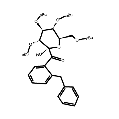 CCCCOC[C@H]1O[C@@](O)(C(=O)c2ccccc2Cc2ccccc2)[C@H](OCCCC)[C@@H](OCCCC)[C@@H]1OCCCC